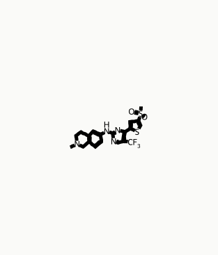 CN1CCc2cc(Nc3ncc(C(F)(F)F)c(-c4cc(S(C)(=O)=O)cs4)n3)ccc2C1